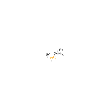 P.[GeH4].[Pt].[Re]